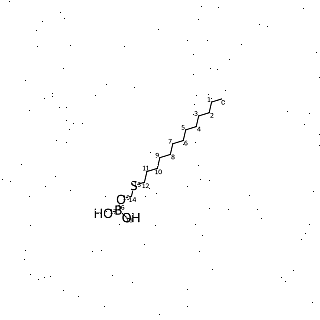 CCCCCCCCCCCCCSCOB(O)O